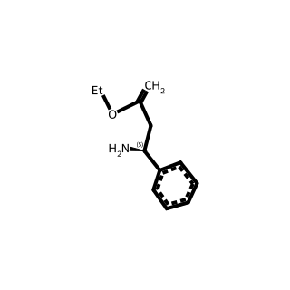 C=C(C[C@H](N)c1ccccc1)OCC